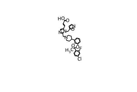 CC1(c2ccc(Cl)cc2F)Oc2cccc(C3CCN(Cc4ncc(/C=C/C(=O)O)n4Cc4ccno4)CC3)c2O1